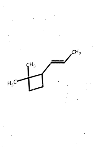 CC=CC1CCC1(C)C